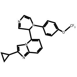 FC(F)(F)Oc1ccc(N2C=CN=CC2c2cccc3nc(C4CC4)cn23)cc1